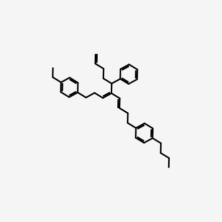 C=CCCC(C(C=CCCc1ccc(CCCC)cc1)=CCCc1ccc(CC)cc1)c1ccccc1